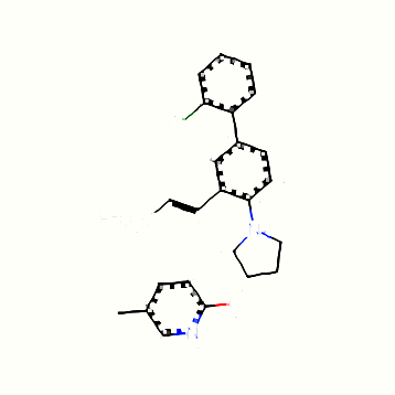 CCOC(=O)/C=C/c1cc(-c2ccccc2Cl)ccc1N1CC[C@H](Oc2ccc(C)cn2)C1